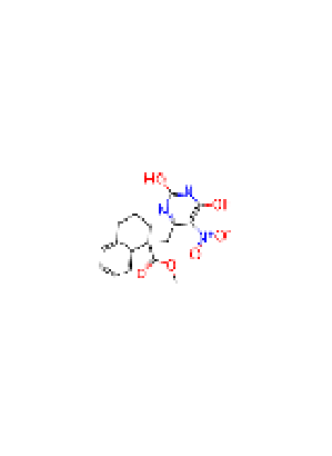 COC(=O)C1(Cc2nc(O)nc(O)c2[N+](=O)[O-])CCCc2ccccc21